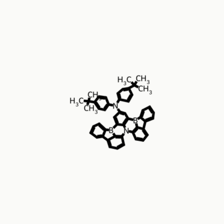 CC(C)(C)c1ccc(N(c2ccc(C(C)(C)C)cc2)c2cc3c4c(c2)B2c5ccccc5-c5cccc(c52)N4c2cccc4c2B3c2ccccc2-4)cc1